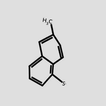 Cc1ccc2c([S])cccc2c1